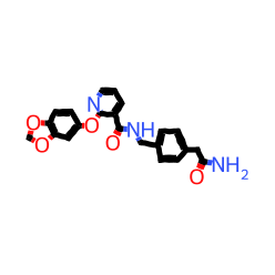 NC(=O)Cc1ccc(CNC(=O)c2cccnc2Oc2ccc3c(c2)OCO3)cc1